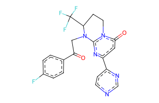 O=C(CN1c2nc(-c3ccncn3)cc(=O)n2CCC1C(F)(F)F)c1ccc(F)cc1